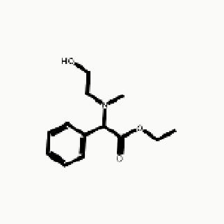 CCOC(=O)C(c1ccccc1)N(C)CCO